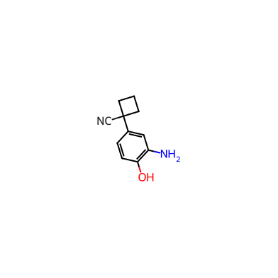 N#CC1(c2ccc(O)c(N)c2)CCC1